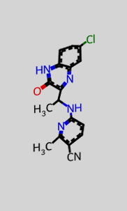 Cc1nc(NC(C)c2nc3cc(Cl)ccc3[nH]c2=O)ccc1C#N